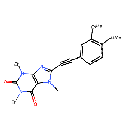 CCn1c(=O)c2c(nc(C#Cc3ccc(OC)c(OC)c3)n2C)n(CC)c1=O